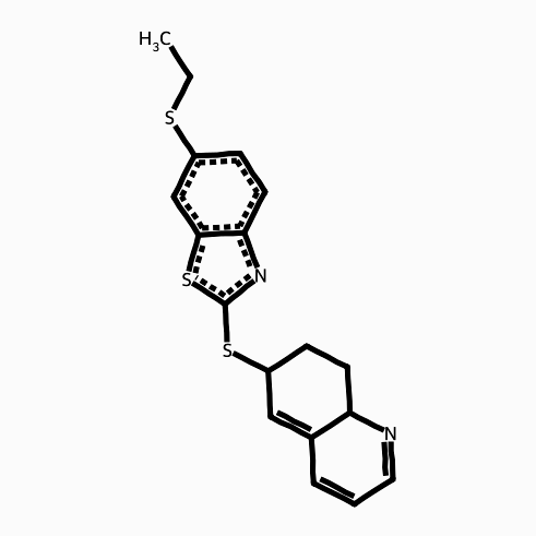 CCSc1ccc2nc(SC3C=C4C=CC=NC4CC3)sc2c1